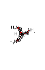 NCC(COC(=O)COCCOC(=O)c1ccc(N)cc1)(COC(=O)COCCOC(=O)c1ccc(N)cc1)COC(=O)COCCOC(=O)c1ccc(N)cc1